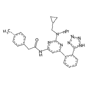 CCCN(CC1CC1)c1nc(NC(=O)Cc2ccc(C)cc2)cc(-c2ccccc2-c2nnn[nH]2)n1